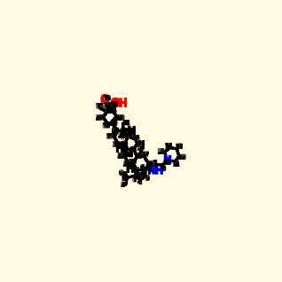 C=C(C)[C@@H]1CC[C@]2(NCCN3CCCCC3)CC[C@]3(C)[C@H](CC[C@@H]4[C@@]5(C)CC=C(C6=CCC(C)(C(=O)O)CC6)C(C)(C)[C@@H]5CC[C@]43C)[C@@H]12